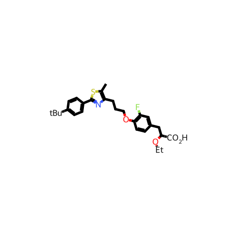 CCOC(Cc1ccc(OCCCc2nc(-c3ccc(C(C)(C)C)cc3)sc2C)c(F)c1)C(=O)O